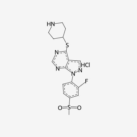 CS(=O)(=O)c1ccc(-n2ncc3c(SC4CCNCC4)ncnc32)c(F)c1.Cl